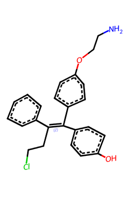 NCCOc1ccc(/C(=C(/CCCl)c2ccccc2)c2ccc(O)cc2)cc1